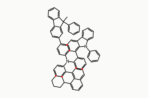 CC1(c2ccccc2)c2ccccc2-c2ccc(-c3ccc(N(c4ccccc4-c4cccc5cccc(C6CCCCC6)c45)c4ccccc4-c4cccc5c6ccccc6n(-c6ccccc6)c45)cc3)cc21